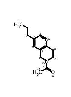 CCCc1cnc2c(c1)CN(C(C)=O)CC2